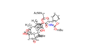 CCCCOC(=O)N[C@@H](c1ccccc1)[C@@H](OC(=O)CNC(C)=O)C(=O)O[C@H]1C[C@@]2(O)[C@@H](OC)C3C(C)(C(=O)[C@H](C)C(=C1C)C2(C)C)[C@@H](O)CC1OC[C@]13OC(C)=O